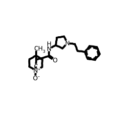 CC12CC[N+]([O-])(CC1)CC2C(=O)NC1CCN(CCc2ccccc2)C1